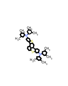 CC1=CC(C)CC(N(c2cc(C)cc(C)c2)c2ccc3c(c2)sc2cc4c5c(cccc5c23)Sc2cc(N(c3cc(C)cc(C)c3)c3cc(C)cc(C)c3)ccc2-4)=C1